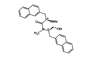 CN[C@H](Cc1ccc2ccccc2c1)C(=O)N(C)[C@@H](CO)Cc1ccc2ccccc2c1